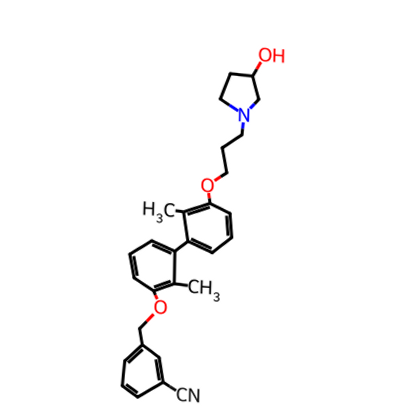 Cc1c(OCCCN2CCC(O)C2)cccc1-c1cccc(OCc2cccc(C#N)c2)c1C